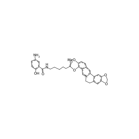 COc1ccc2cc3[n+](cc2c1OC(=O)CCCCCNC(=O)c1cc(N)ccc1O)CCc1cc2c(cc1-3)OCO2